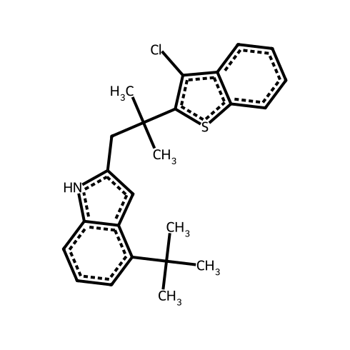 CC(C)(C)c1cccc2[nH]c(CC(C)(C)c3sc4ccccc4c3Cl)cc12